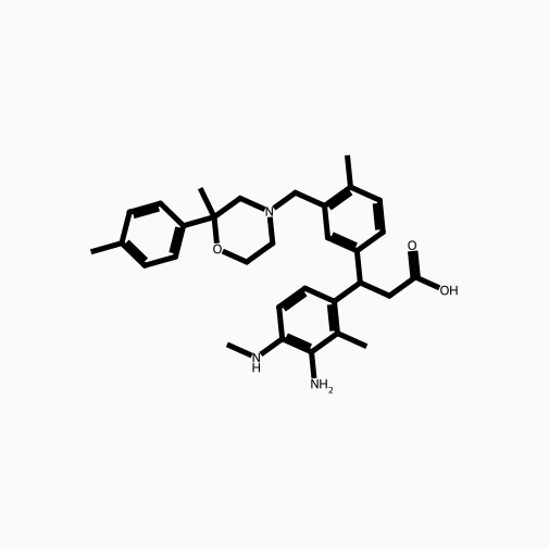 CNc1ccc(C(CC(=O)O)c2ccc(C)c(CN3CCOC(C)(c4ccc(C)cc4)C3)c2)c(C)c1N